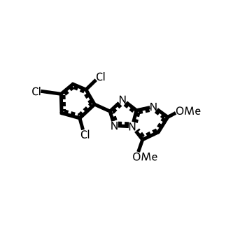 COc1cc(OC)n2nc(-c3c(Cl)cc(Cl)cc3Cl)nc2n1